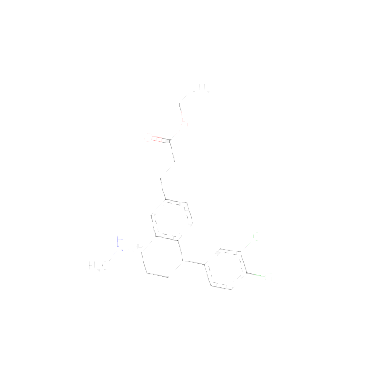 CCOC(=O)CCc1ccc2c(c1)[C@@H](NC)CCC2c1ccc(Cl)c(Cl)c1